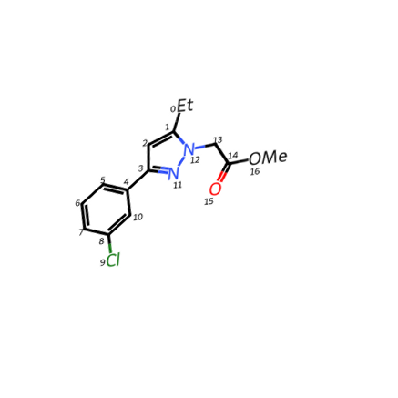 CCc1cc(-c2cccc(Cl)c2)nn1CC(=O)OC